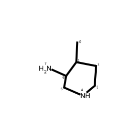 CC1CCNCC1N